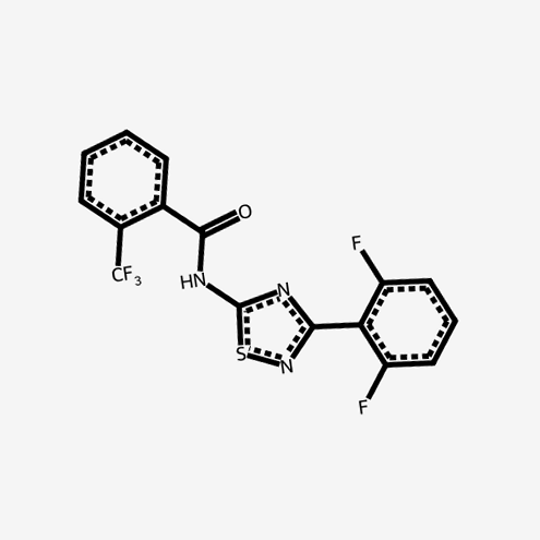 O=C(Nc1nc(-c2c(F)cccc2F)ns1)c1ccccc1C(F)(F)F